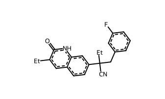 CCc1cc2ccc(C(C#N)(CC)Cc3cccc(F)c3)cc2[nH]c1=O